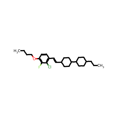 CCCCOc1ccc(/C=C/C2CCC(C3CCC(CCC)CC3)CC2)c(Cl)c1F